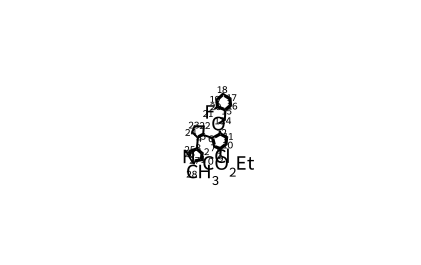 CCOC(=O)c1cc(C2=C(c3cc(Cl)ccc3OCc3ccccc3F)CCC2)cnc1C